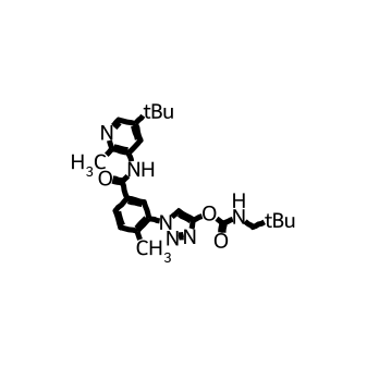 Cc1ccc(C(=O)Nc2cc(C(C)(C)C)cnc2C)cc1-n1cc(OC(=O)NCC(C)(C)C)nn1